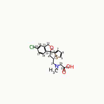 CN(CCCC1(c2cccs2)OCc2cc(Cl)ccc21)CC(=O)O